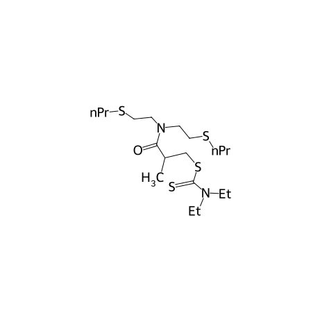 CCCSCCN(CCSCCC)C(=O)C(C)CSC(=S)N(CC)CC